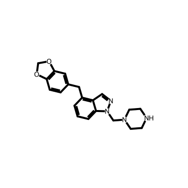 c1cc(Cc2ccc3c(c2)OCO3)c2cnn(CN3CCNCC3)c2c1